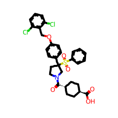 O=C(O)[C@H]1CC[C@H](C(=O)N2CCC(c3ccc(OCc4c(Cl)cccc4Cl)cc3)(S(=O)(=O)c3ccccc3)C2)CC1